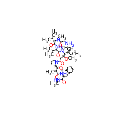 CC[C@H](C)[C@@H]([C@@H](CC(=O)N1CCC[C@H]1[C@H](OC)[C@@H](C)C(=O)N[C@@H](Cc1ccccc1)C(=O)NC)OC)N(C)C(=O)[C@@H](NC(=O)[C@H](C(C)C)N(C)C(=O)CN)C(C)C